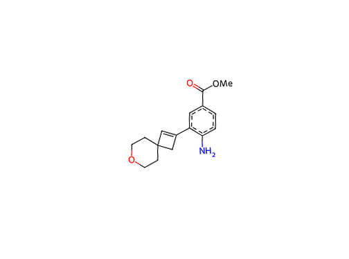 COC(=O)c1ccc(N)c(C2=CC3(CCOCC3)C2)c1